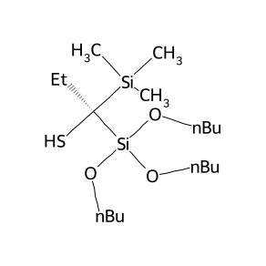 CCCCO[Si](OCCCC)(OCCCC)[C@](S)(CC)[Si](C)(C)C